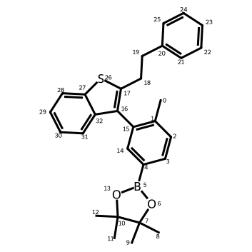 Cc1ccc(B2OC(C)(C)C(C)(C)O2)cc1-c1c(CCc2ccccc2)sc2ccccc12